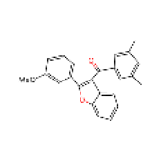 COc1cccc(-c2oc3ccccc3c2C(=O)c2cc(C)cc(C)c2)c1